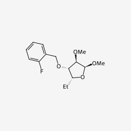 CC[C@H]1O[C@H](OC)[C@H](OC)[C@H]1OCc1ccccc1F